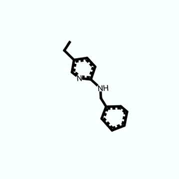 CCc1ccc(NCc2ccccc2)nc1